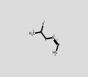 CC(F)C/N=C\S